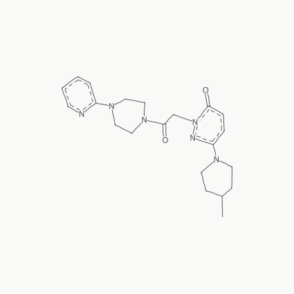 CC1CCN(c2ccc(=O)n(CC(=O)N3CCN(c4ccccn4)CC3)n2)CC1